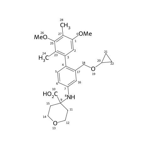 COc1cc(-c2ccc(NC3(C(=O)O)CCOCC3)cc2COC2CC2)c(C)c(OC)c1C